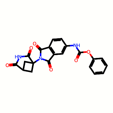 O=C(Nc1ccc2c(c1)C(=O)N(C13CC(C1)C(=O)NC3=O)C2=O)Oc1ccccc1